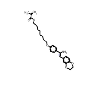 C=C(C)C(=O)OCCCCCCCCOc1ccc(/C(N)=C/c2ccc3c(c2)OCCO3)cc1